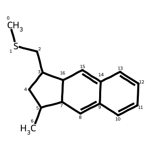 CSCC1CC(C)C2C=c3ccccc3=CC12